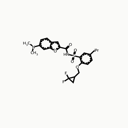 CC(C)c1ccc(OCC2CC2(F)F)c(S(=O)(=O)NC(=O)c2cc3ccc(N(C)C)cc3o2)c1